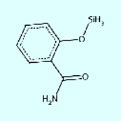 NC(=O)c1ccccc1O[SiH3]